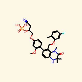 COc1cc(OCC(CC#N)OP(=O)(O)O)ccc1-c1ccc2c(c1COc1cc(F)ccc1C)N(C)C(=O)C(C)(C)N2